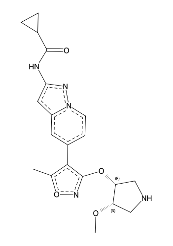 CO[C@H]1CNC[C@H]1Oc1noc(C)c1-c1ccn2nc(NC(=O)C3CC3)cc2c1